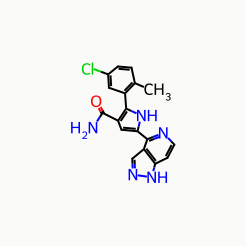 Cc1ccc(Cl)cc1-c1[nH]c(-c2nccc3[nH]ncc23)cc1C(N)=O